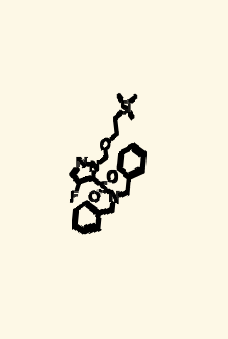 C[Si](C)(C)CCOCn1ncc(F)c1S(=O)(=O)N(Cc1ccccc1)Cc1ccccc1